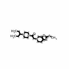 CCC(CC)N1CCN(C(=O)CN2CCc3nc(SC)oc3C2)CC1